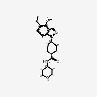 CCc1ccc2c(cnn2C2CCN(C(=O)NC3CCOCC3)CC2)c1OC